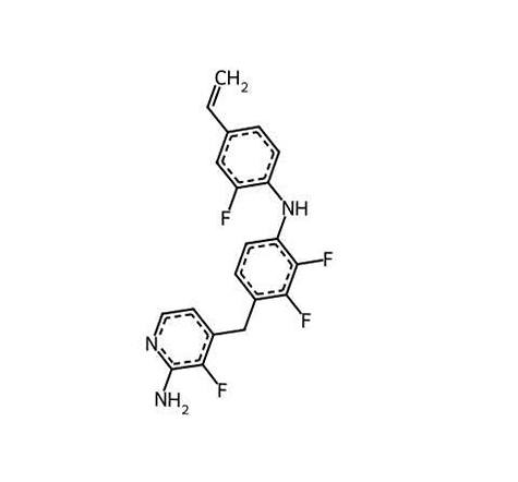 C=Cc1ccc(Nc2ccc(Cc3ccnc(N)c3F)c(F)c2F)c(F)c1